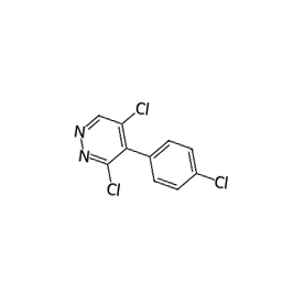 Clc1ccc(-c2c(Cl)cnnc2Cl)cc1